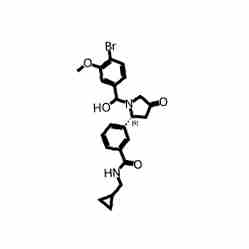 COc1cc(C(O)N2CC(=O)C[C@@H]2c2cccc(C(=O)NCC3CC3)c2)ccc1Br